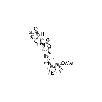 COc1ccc2nccc(N3CC(NCC4CN(c5ccc6c(c5)NC(=O)CS6)C(=O)O4)C3)c2n1